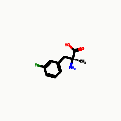 C[C@](N)(Cc1cccc(F)c1)C(=O)O